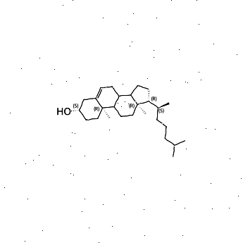 CC(C)CCC[C@H](C)[C@H]1CCC2C3CC=C4C[C@@H](O)CC[C@]4(C)C3CC[C@@]21C